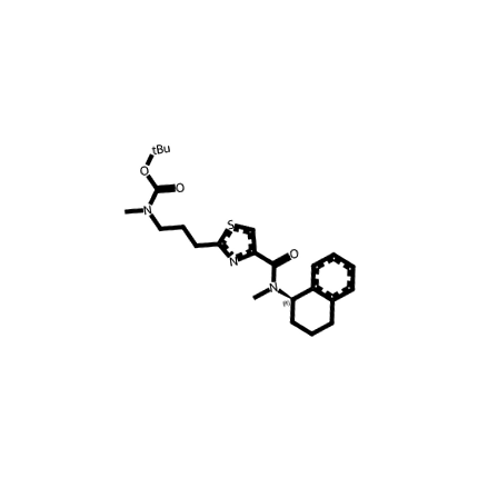 CN(CCCc1nc(C(=O)N(C)[C@@H]2CCCc3ccccc32)cs1)C(=O)OC(C)(C)C